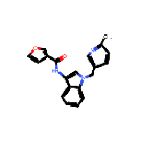 Cc1ccc(Cn2cc(NC(=O)c3ccoc3)c3ccccc32)cn1